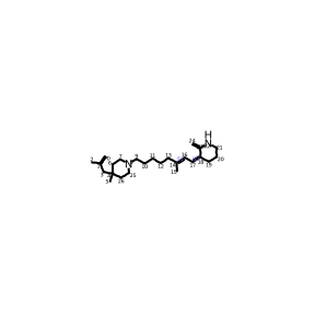 C=C(C)CC1(C)CCN(CCCCC/C(C)=C/C=C2/CCCNC2=C)CC1